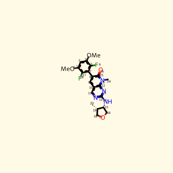 COc1cc(OC)c(F)c(-c2cc3cnc(N[C@@H]4COC[C@@H]4C)nc3n(C)c2=O)c1F